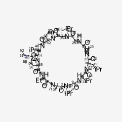 C=C1C(=O)N(C)[C@@H](CC(C)C)C(=O)N[C@H](C(C)C)C(=O)N(C)[C@H](CC(C)C)C(=O)N[C@H](C)C(=O)N[C@@H](C)C(=O)N(C)[C@@H](CC(C)C)C(=O)N(C)[C@H](CC(C)C)C(=O)N(C)[C@H](C(C)C)C(=O)N(C)[C@H](C[C@H](C)C/C=C/C)C(=O)N[C@H](CC)C(=O)N1C